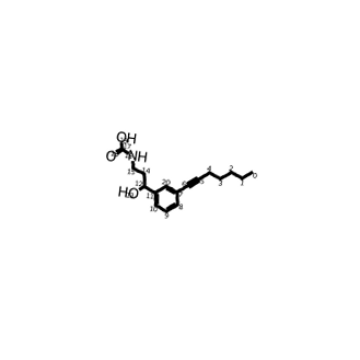 CCCCCC#Cc1cccc(C(O)CCNC(=O)O)c1